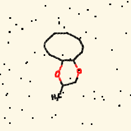 CC1COC2CCCCCCC2O1